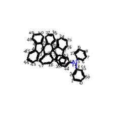 c1ccc(N(c2ccccc2)c2ccc(-c3cccc4c3C3(c5ccccc5-c5ccccc53)c3ccccc3C43c4ccccc4-c4ccccc43)cc2)cc1